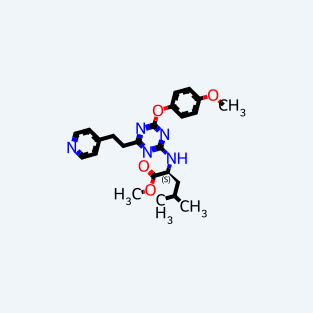 COC(=O)[C@H](CC(C)C)Nc1nc(CCc2ccncc2)nc(Oc2ccc(OC)cc2)n1